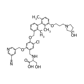 Cc1ccc(OCCCN2CC[C@@H](O)C2)c(C)c1-c1cccc(COc2cc(OCc3cncc(C#N)c3)c(CNC(CO)C(=O)O)cc2Cl)c1C